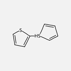 C1=C[SH](c2cccs2)C=C1